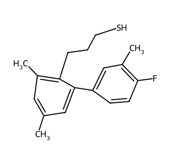 Cc1cc(C)c(CCCS)c(-c2ccc(F)c(C)c2)c1